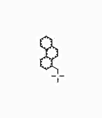 C[Si](C)(C)Cc1cccc2c1ccc1ccccc12